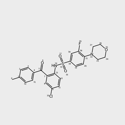 Cc1ccc(C(=O)c2cc(Cl)ccc2NS(=O)(=O)c2ccc(N3CCOCC3)c(F)c2)cc1